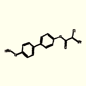 CCCCOc1ccc(-c2ccc(OC(=O)C(Cl)C(C)C)cc2)cc1